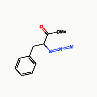 COC(=O)C(Cc1ccccc1)N=[N+]=[N-]